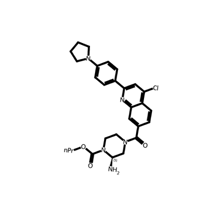 CCCOC(=O)N1CCN(C(=O)c2ccc3c(Cl)cc(-c4ccc(N5CCCC5)cc4)nc3c2)C[C@H]1N